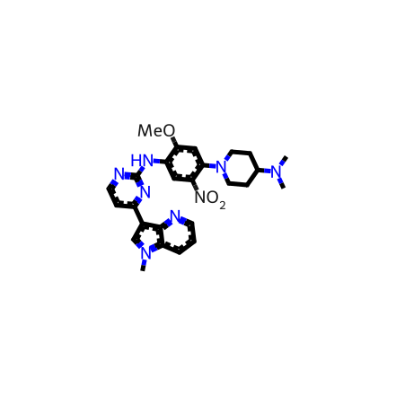 COc1cc(N2CCC(N(C)C)CC2)c([N+](=O)[O-])cc1Nc1nccc(-c2cn(C)c3cccnc23)n1